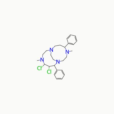 CN1CCN2CCN(CCC1c1ccccc1)CCN(C)C(Cl)C(Cl)C2c1ccccc1